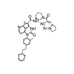 CC(=O)N1CCC[C@H]1/C=C(\C#N)C(=O)N1CCC[C@@H](NC(=O)c2sc3nccc4c3c2NC(=O)N4c2ccc(CCc3ccccc3)cc2C)C1